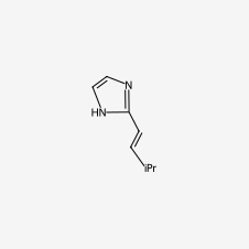 CC(C)C=Cc1ncc[nH]1